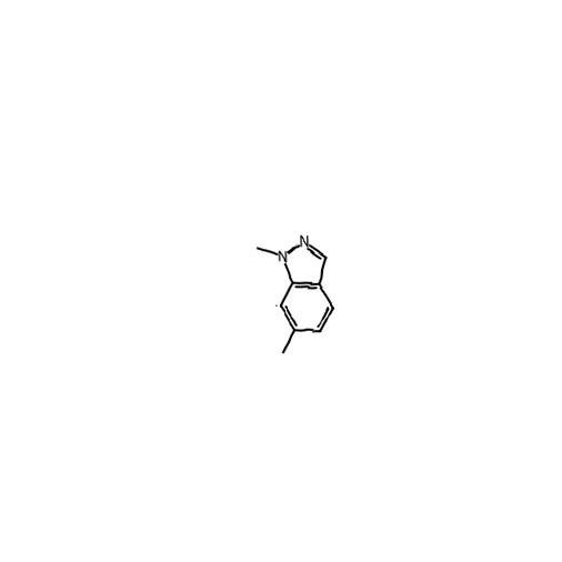 Cc1[c]c2c(cc1)cnn2C